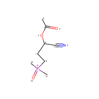 CC(=O)OC(C#N)CCP(C)(C)=O